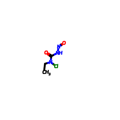 CCN(Cl)C(=O)NN=O